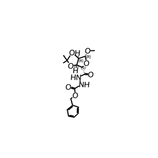 CO[C@@H]1O[C@H](C(=O)NNC(=O)OCc2ccccc2)[C@H]2OC(C)(C)O[C@@H]12